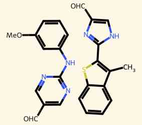 COc1cccc(Nc2ncc(C=O)cn2)c1.Cc1c(-c2nc(C=O)c[nH]2)sc2ccccc12